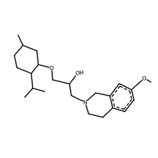 COc1ccc2c(c1)CN(CC(O)COC1CC(C)CCC1C(C)C)CC2